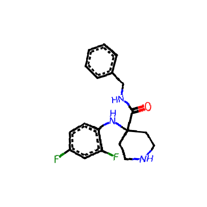 O=C(NCc1ccccc1)C1(Nc2ccc(F)cc2F)CCNCC1